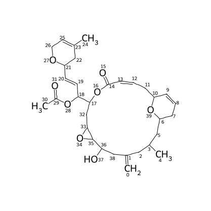 C=C1CC(C)CC2CC=CC(CC=CC(=O)OC(C(C=CC3CC(C)=CCO3)OC(C)=O)CC3OC3C(O)C1)O2